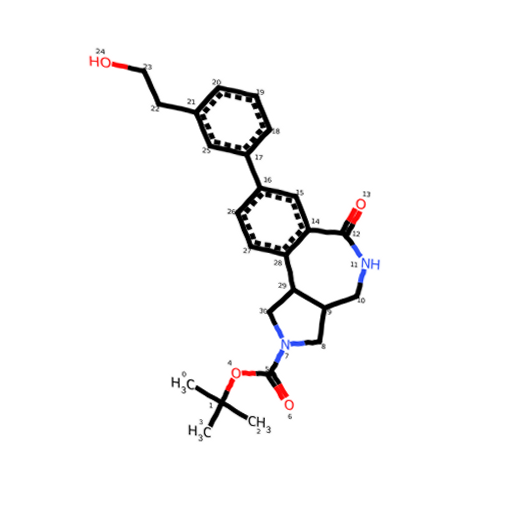 CC(C)(C)OC(=O)N1CC2CNC(=O)c3cc(-c4cccc(CCO)c4)ccc3C2C1